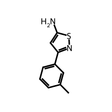 Cc1cccc(-c2cc(N)sn2)c1